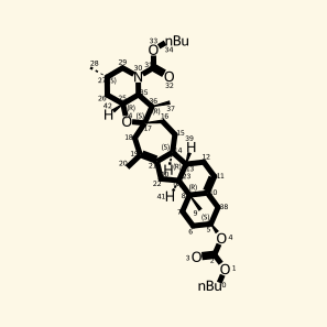 CCCCOC(=O)O[C@H]1CC[C@@]2(C)C(=CC[C@H]3[C@@H]4CC[C@@]5(CC(C)=C4C[C@@H]32)O[C@@H]2C[C@H](C)CN(C(=O)OCCCC)C2[C@H]5C)C1